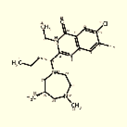 CCC[C@H](c1nc2cc(F)c(Cl)cc2c(=O)n1CC)N1CCN(C)C[C@@H](C)C1